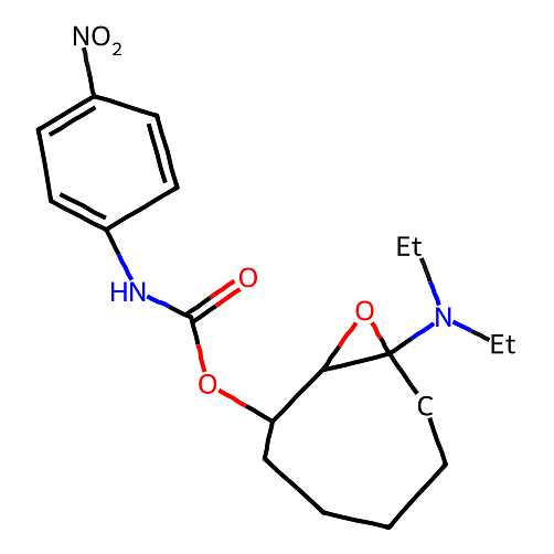 CCN(CC)C12CCCCCC(OC(=O)Nc3ccc([N+](=O)[O-])cc3)C1O2